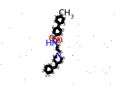 Cc1ccc(-c2ccc(S(=O)(=O)NCCCN3CCC(Cc4ccccc4)CC3)cc2)cc1